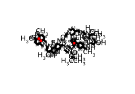 COc1ccc(CN(Cc2ccc(OC)cc2)c2cc(C)c(C(F)(F)F)c(-c3c(Cl)cc4c(N5CCN(C(=O)OC(C)(C)C)[C@@H](CC#N)C5)nc(OCCN5CCC(COCC(=O)N[C@H](C(=O)N6C[C@H](O)C[C@H]6C(=O)N[C@@H](C)c6ccc(-c7scnc7C)cc6)C(C)(C)C)CC5)nc4c3F)n2)cc1